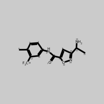 Cc1ccc(NC(=O)c2cc(C(C)N)no2)cc1C(F)(F)F